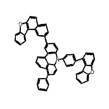 C1=CC(N(c2ccc(-c3cccc4oc5ccccc5c34)cc2)c2ccc(-c3ccc4ccc5oc6ccccc6c5c4c3)cc2-c2ccccc2)CC=C1c1ccccc1